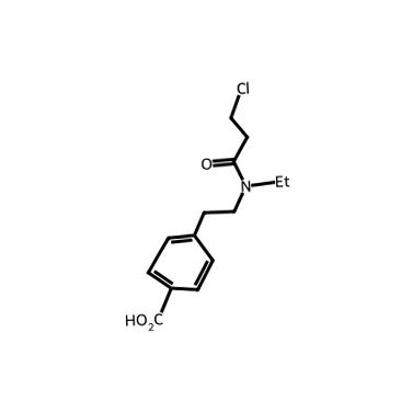 CCN(CCc1ccc(C(=O)O)cc1)C(=O)CCCl